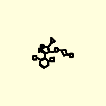 O=C1CC(OCc2c(-c3c(Cl)cccc3Cl)noc2C2CC2)C1